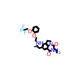 CCCC(=O)N1CCc2cc(C[C@@H](C)NCCOc3ccccc3OCC(F)(F)F)cc(C(N)=O)c21